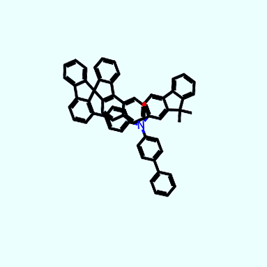 CC1(C)c2ccccc2-c2ccc(N(c3ccc(-c4ccccc4)cc3)c3ccc(-c4cccc5c4C4(c6ccccc6-5)c5ccccc5-c5c4ccc4ccccc54)cc3)cc21